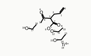 C=CCC(C(C)=O)C(=O)[O-].CC[O-].CC[O-].CC[O-].[Ti+4]